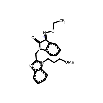 COCCCn1c(CN2C(=O)/C(=N/OCC(F)(F)F)c3ccccc32)nc2ccccc21